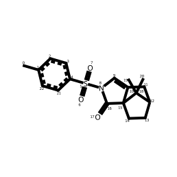 Cc1ccc(S(=O)(=O)N2C=C3CC4CCC3(C2=O)C4(C)C)cc1